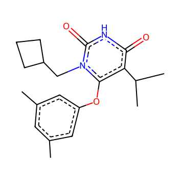 Cc1cc(C)cc(Oc2c(C(C)C)c(=O)[nH]c(=O)n2CC2CCC2)c1